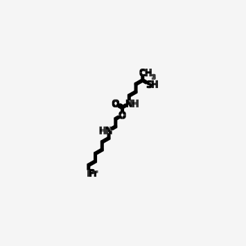 CC(C)CCCCCCNCCOC(=O)NCCCC(C)S